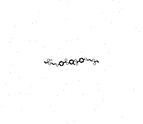 C=CC(=O)OCCCOc1ccc(C(=O)Oc2ccc(OC(=O)c3ccc(OCCCOC(O)C=C)cc3)cc2C)cc1